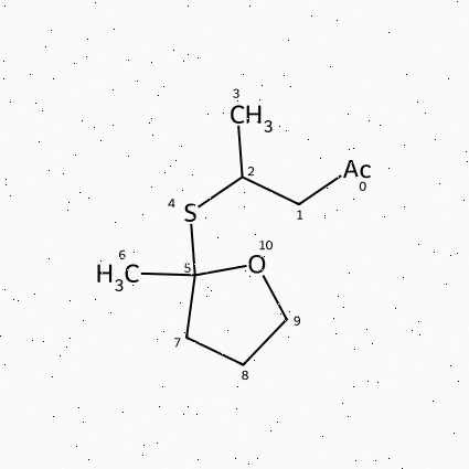 CC(=O)CC(C)SC1(C)CCCO1